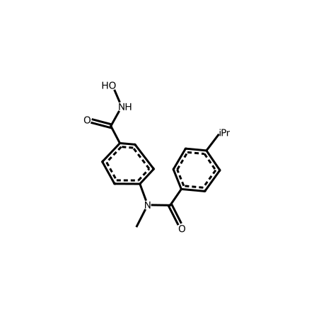 CC(C)c1ccc(C(=O)N(C)c2ccc(C(=O)NO)cc2)cc1